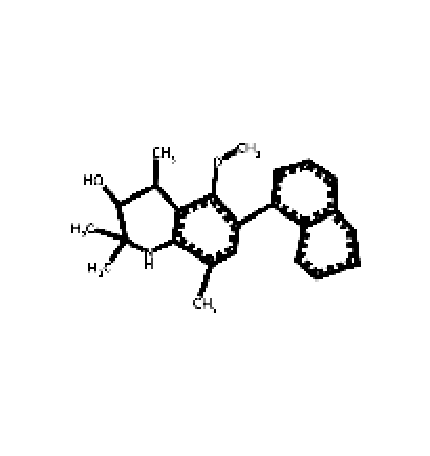 COc1c(-c2cccc3ccccc23)cc(C)c2c1C(C)C(O)C(C)(C)N2